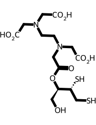 O=C(O)CN(CCN(CC(=O)O)CC(=O)O[C@H](CO)[C@H](S)CS)CC(=O)O